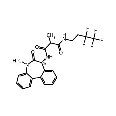 CC(C(=O)NCCC(F)(F)C(F)(F)F)C(=O)N[C@@H]1C(=O)N(C)c2ccccc2-c2ccccc21